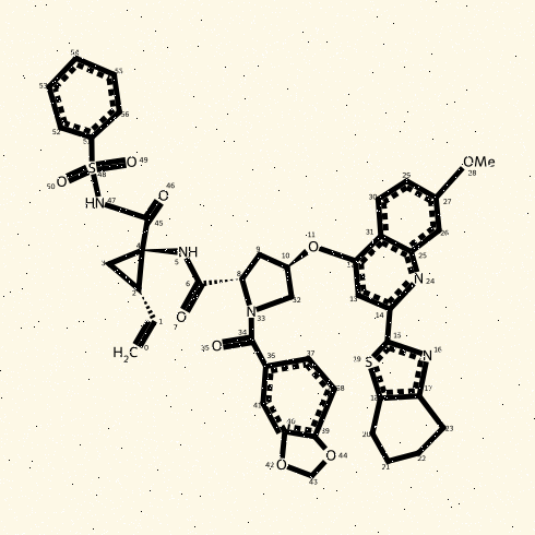 C=C[C@@H]1C[C@]1(NC(=O)[C@@H]1C[C@@H](Oc2cc(-c3nc4c(s3)CCCC4)nc3cc(OC)ccc23)CN1C(=O)c1ccc2c(c1)OCO2)C(=O)NS(=O)(=O)c1ccccc1